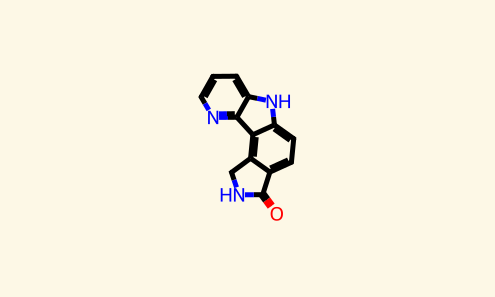 O=C1NCc2c1ccc1[nH]c3cccnc3c21